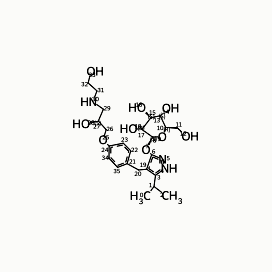 CC(C)c1[nH]nc(O[C@@H]2O[C@H](CO)[C@@H](O)[C@H](O)[C@H]2O)c1Cc1ccc(OC[C@@H](O)CNCCO)cc1